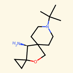 CC(C)(C)N1CCC2(CC1)COC1(CC1)[C@H]2N